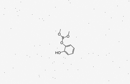 COB(OC)Oc1ccccc1O